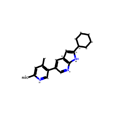 COc1cc(C)c(-c2cnc3[nH]c(C4CCCCC4)cc3c2)cn1